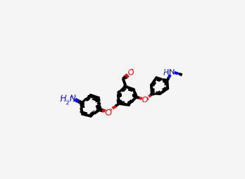 CNc1ccc(Oc2cc(C=O)cc(Oc3ccc(N)cc3)c2)cc1